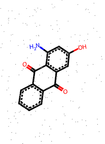 Nc1cc(O)cc2c1C(=O)c1ccccc1C2=O